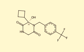 O=C1CNC(=O)[C@@](O)(C2CCC2)N1Cc1ccc(C(F)(F)F)cc1